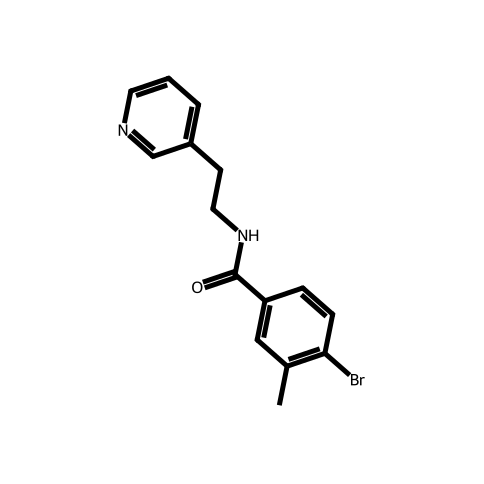 Cc1cc(C(=O)NCCc2cccnc2)ccc1Br